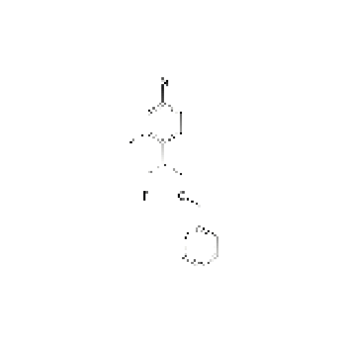 Cc1cc(Br)ccc1[C@@H](CF)COCc1ccccc1